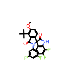 COc1ccc2c(c1C(C)(C)C)C(=O)N(c1cc(F)cc(F)c1)C21C(=O)Nc2c1ccc(F)c2F